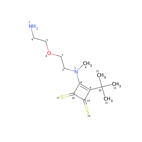 CN(CCOCCN)c1c(C(C)(C)C)c(=S)c1=S